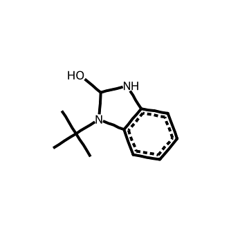 CC(C)(C)N1c2ccccc2NC1O